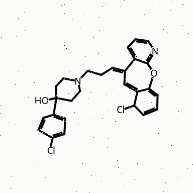 OC1(c2ccc(Cl)cc2)CCN(CCC=C2C=C3C(=CC=CC3Cl)Oc3ncccc32)CC1